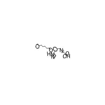 O=C(O)C1CN(Cc2ccc(OCCCCCc3ccccc3)c(-c3ccn[nH]3)c2)C1